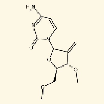 C=C1C(n2ccc(N)nc2=O)O[C@H](COC)[C@H]1OC